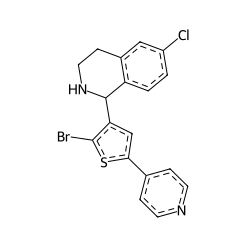 Clc1ccc2c(c1)CCNC2c1cc(-c2ccncc2)sc1Br